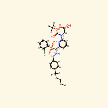 CCCCC(C)(C)c1ccc(CNC(c2cccc(N(CC(=O)O)C(=O)OC(C)(C)C)n2)S(=O)(=O)c2ccccc2F)cc1